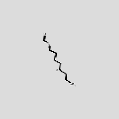 CCCNCCCCO[C]=O